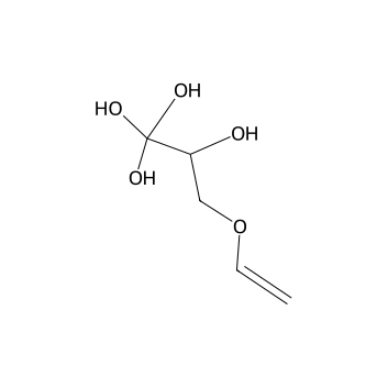 C=COCC(O)C(O)(O)O